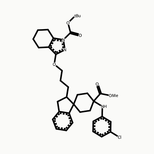 COC(=O)C1(Nc2cccc(Cl)c2)CCC2(CC1)c1ccccc1CC2CCCOc1nn(C(=O)OC(C)(C)C)c2c1CCCC2